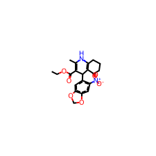 CCOC(=O)C1=C(C)NC2=C(C(=O)CCC2)C1c1cc2c(cc1[N+](=O)[O-])OCO2